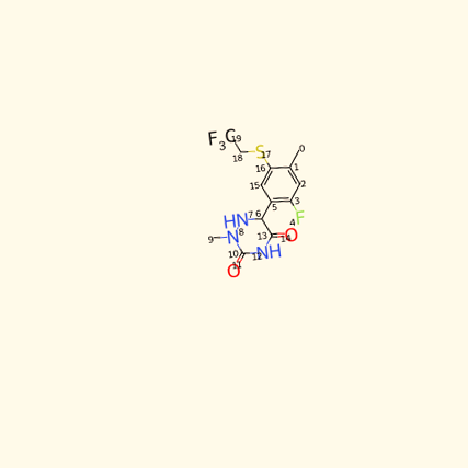 Cc1cc(F)c(C2NN(C)C(=O)NC2=O)cc1SCC(F)(F)F